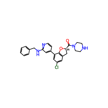 O=C([C@H]1Cc2cc(Cl)cc(-c3ccnc(NCc4ccccc4)c3)c2O1)N1CCNCC1